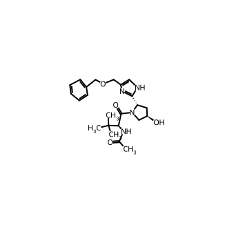 CC(=O)N[C@H](C(=O)N1C[C@H](O)C[C@H]1c1nc(COCc2ccccc2)c[nH]1)C(C)(C)C